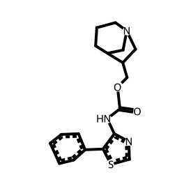 O=C(Nc1ncsc1-c1ccccc1)OCC1CN2CCCC1C2